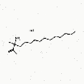 C=C(C)C(C)(N)CCCCCCCCCCCC.Cl